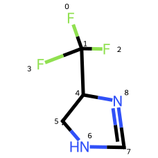 FC(F)(F)C1[CH]NC=N1